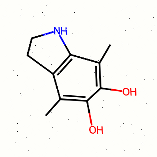 Cc1c(O)c(O)c(C)c2c1CCN2